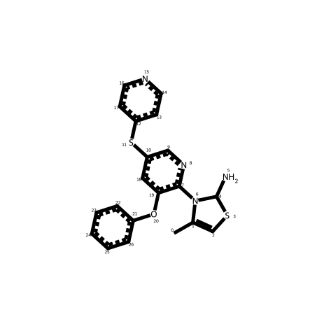 CC1=CSC(N)N1c1ncc(Sc2ccncc2)cc1Oc1ccccc1